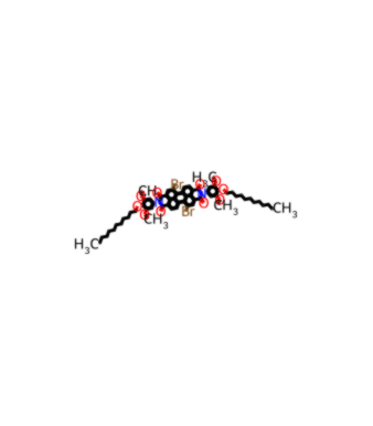 CCCCCCCCCCCCOc1c(OC)cc(N2C(=O)c3ccc4c5c(Br)cc6c7c(ccc(c8c(Br)cc(c3c48)C2=O)c75)C(=O)N(c2cc(OC)c(OCCCCCCCCCCCC)c(OC)c2)C6=O)cc1OC